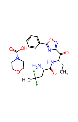 CC[C@H](NC(=O)[C@@H](N)CC(C)(F)F)C(=O)c1noc(-c2ccccc2)n1.O=C(O)N1CCOCC1